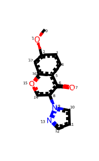 COc1ccc2c(=O)c(-n3cccn3)coc2c1